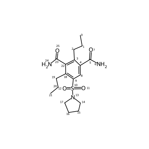 CCCc1c(C(N)=O)cc(S(=O)(=O)N2CCCC2)c(CCC)c1C(N)=O